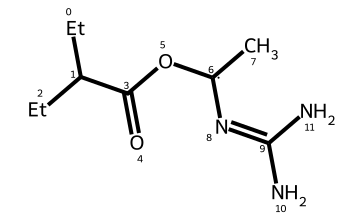 CCC(CC)C(=O)O[C](C)N=C(N)N